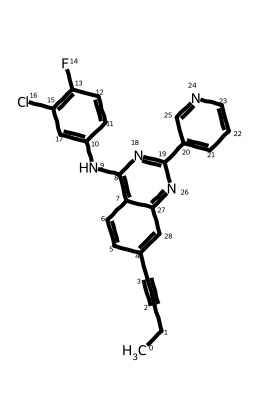 CCC#Cc1ccc2c(Nc3ccc(F)c(Cl)c3)nc(-c3cccnc3)nc2c1